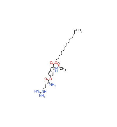 CCCCCCCCCCCCCCCCOC(=O)[C@H](Cc1ccc(OC(=O)[C@@H](N)CCCNC(=N)N)cc1)NC(C)=O